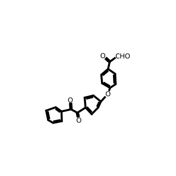 O=CC(=O)c1ccc(Oc2ccc(C(=O)C(=O)c3ccccc3)cc2)cc1